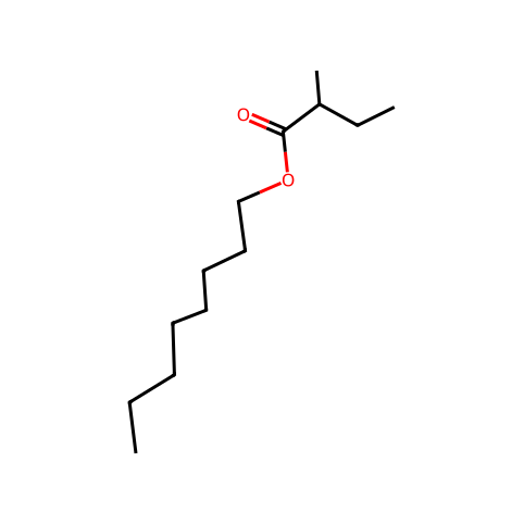 CCCCCCCCOC(=O)C(C)CC